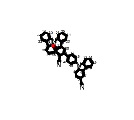 N#Cc1ccc2c(c1)c1ccccc1n2-c1ccc(-c2cc(-c3ccccc3-n3c4ccccc4c4ccccc43)c(C#N)cc2C#N)cc1